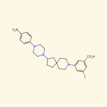 O=C(O)c1cc(F)cc(N2CCC3(CCC(N4CCN(c5ccc([N+](=O)[O-])cc5)CC4)C3)CC2)c1